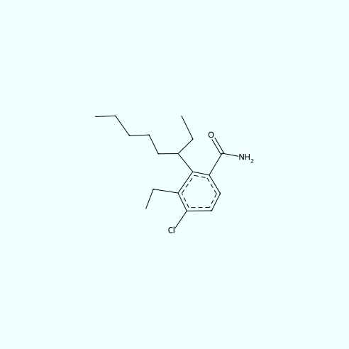 CCCCCC(CC)c1c(C(N)=O)ccc(Cl)c1CC